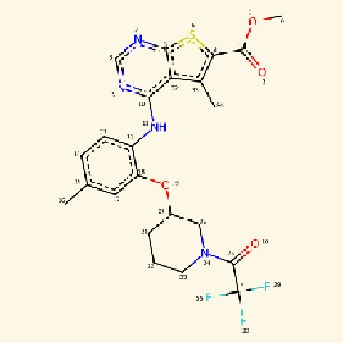 COC(=O)c1sc2ncnc(Nc3ccc(C)cc3OC3CCCN(C(=O)C(F)(F)F)C3)c2c1C